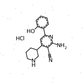 Cl.N#Cc1c(C2CCCNC2)cc(-c2ccccc2O)nc1N